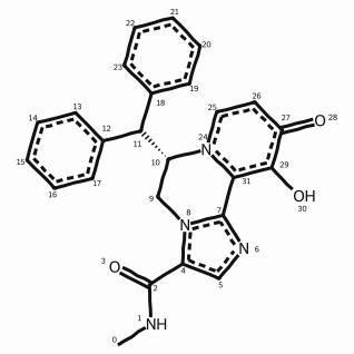 CNC(=O)c1cnc2n1C[C@H](C(c1ccccc1)c1ccccc1)n1ccc(=O)c(O)c1-2